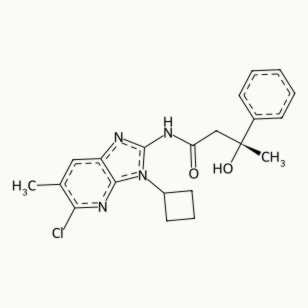 Cc1cc2nc(NC(=O)C[C@@](C)(O)c3ccccc3)n(C3CCC3)c2nc1Cl